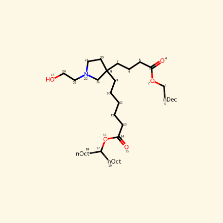 CCCCCCCCCCCOC(=O)CCCC1(CCCCCC(=O)OC(CCCCCCCC)CCCCCCCC)CCN(CCO)C1